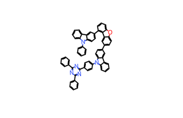 c1ccc(-c2nc(-c3ccccc3)nc(-c3ccc(-n4c5ccccc5c5cc(-c6ccc7oc8cccc(-c9ccc%10c(c9)c9ccccc9n%10-c9ccccc9)c8c7c6)ccc54)cc3)n2)cc1